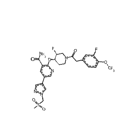 CS(=O)(=O)Cn1cc(-c2cnc(O[C@@H]3CCN(C(=O)Cc4ccc(OC(F)(F)F)c(F)c4)C[C@@H]3F)c(C(N)=O)c2)cn1